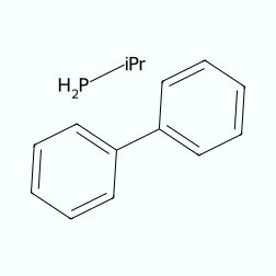 CC(C)P.c1ccc(-c2ccccc2)cc1